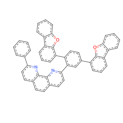 c1ccc(-c2ccc3ccc4ccc(-c5cc(-c6cccc7c6oc6ccccc67)ccc5-c5cccc6c5oc5ccccc56)nc4c3n2)cc1